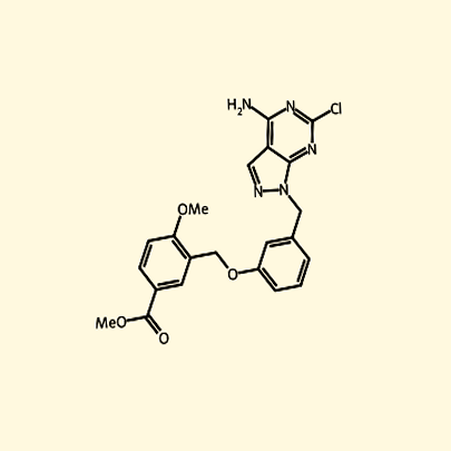 COC(=O)c1ccc(OC)c(COc2cccc(Cn3ncc4c(N)nc(Cl)nc43)c2)c1